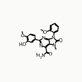 COc1ccc(-c2nc(C(N)=O)c3c(n2)n(-c2ccccc2OC)c(=O)n3C)cc1O